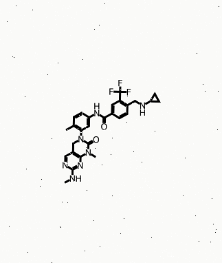 CNc1ncc2c(n1)N(C)C(=O)N(c1cc(NC(=O)c3ccc(CNC4CC4)c(C(F)(F)F)c3)ccc1C)C2